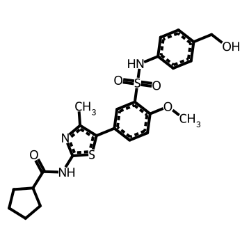 COc1ccc(-c2sc(NC(=O)C3CCCC3)nc2C)cc1S(=O)(=O)Nc1ccc(CO)cc1